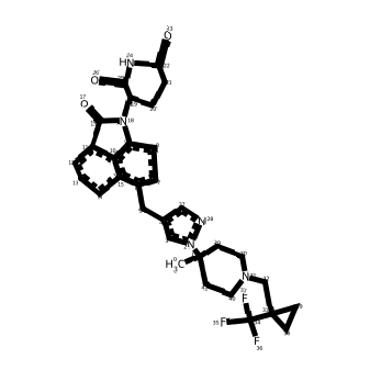 CC1(n2cc(Cc3ccc4c5c(cccc35)C(=O)N4C3CCC(=O)NC3=O)cn2)CCN(CC2(C(F)(F)F)CC2)CC1